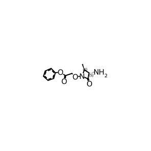 C[C@H]1[C@H](N)C(=O)N1OCC(=O)Oc1ccccc1